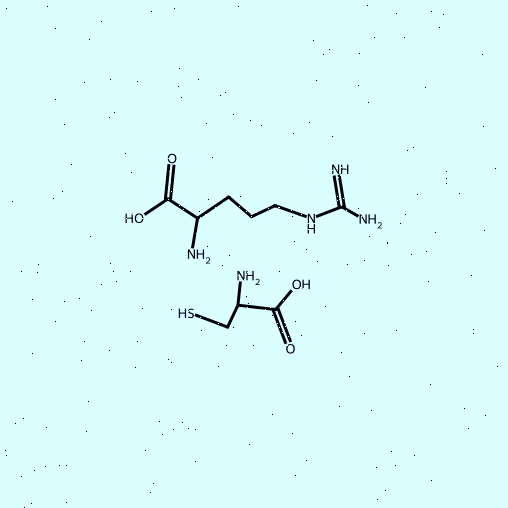 N=C(N)NCCCC(N)C(=O)O.NC(CS)C(=O)O